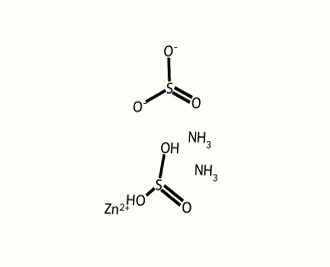 N.N.O=S(O)O.O=S([O-])[O-].[Zn+2]